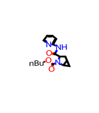 CCCCOC(=O)N1C(C(=O)Nc2ccccn2)CC2CC21